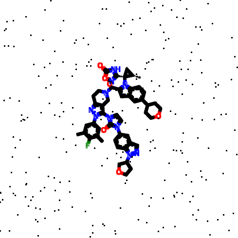 Cc1cc(-n2nc3c(c2-n2ccn(-c4ccc5c(cnn5C5CCOC5)c4)c2=O)CN(C(=O)c2cc4cc(C5CCOCC5)ccc4n2[C@@]2(c4noc(=O)[nH]4)C[C@@H]2C)CC3)cc(C)c1F